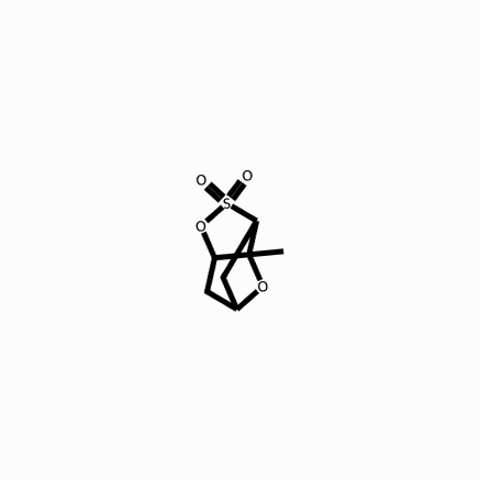 CC12OC3CC1OS(=O)(=O)C2C3